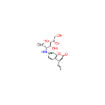 CC=Cc1cc(=O)oc2cc(N[C@@H](C=O)[C@@H](O)[C@H](O)[C@H](O)CO)ccc12